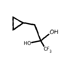 OC(O)(CC1CC1)C(F)(F)F